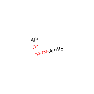 [Al+3].[Al+3].[Mo].[O-2].[O-2].[O-2]